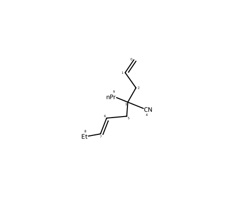 C=CCC(C#N)(CC=CCC)CCC